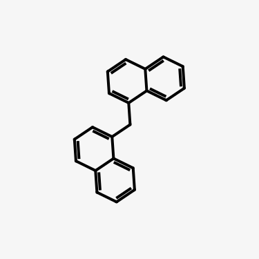 c1ccc2c(Cc3cccc4ccccc34)cccc2c1